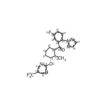 C[C@H]1[C@H](Oc2ncc(C(F)(F)F)cn2)CCCN1C(=O)c1cc(F)ccc1-n1nccn1